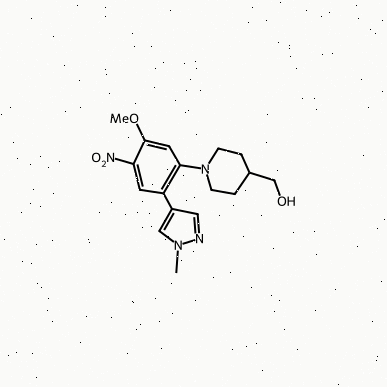 COc1cc(N2CCC(CO)CC2)c(-c2cnn(C)c2)cc1[N+](=O)[O-]